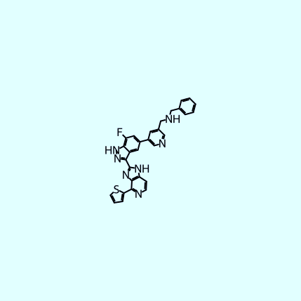 Fc1cc(-c2cncc(CNCc3ccccc3)c2)cc2c(-c3nc4c(-c5cccs5)nccc4[nH]3)n[nH]c12